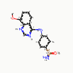 COc1cccc2c(Nc3ccc([SH](=N)=O)cc3)ncnc12